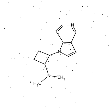 CN(C)C1CCC1n1ccc2cnccc21